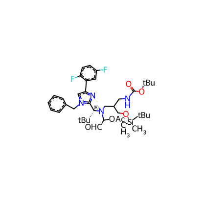 CC(=O)OC(C=O)N(CC(CNC(=O)OC(C)(C)C)CO[Si](C)(C)C(C)(C)C)[C@@H](c1nc(-c2cc(F)ccc2F)cn1Cc1ccccc1)C(C)(C)C